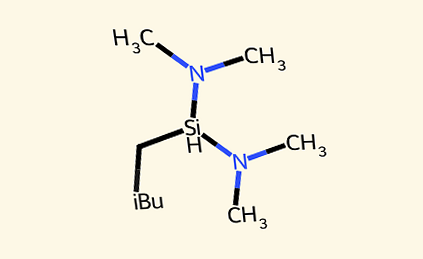 CCC(C)C[SiH](N(C)C)N(C)C